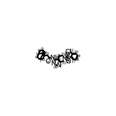 O=C(CC12CC3CC(CC(C3)C1)C2)Nc1ncnc2c1CCN(S(=O)(=O)c1ccccc1Cl)C2